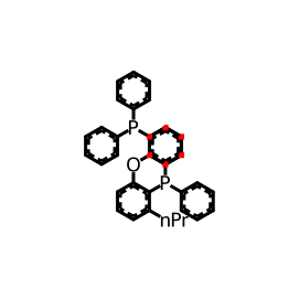 CCCc1cccc(Oc2ccccc2P(c2ccccc2)c2ccccc2)c1P(c1ccccc1)c1ccccc1